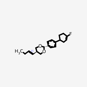 CC/C=C/[C@H]1CO[C@H](c2ccc(C3CC=C(F)CC3)cc2)OC1